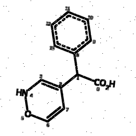 O=C(O)C(C1=CNOC=C1)c1ccccc1